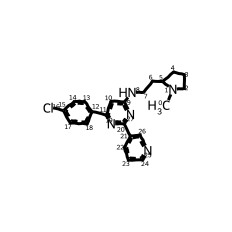 CN1CCCC1CCNc1cc(-c2ccc(Cl)cc2)nc(-c2cccnc2)n1